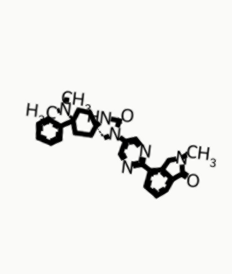 CN1Cc2c(cccc2-c2ncc(N3C[C@]4(CC[C@](c5ccccc5)(N(C)C)CC4)NC3=O)cn2)C1=O